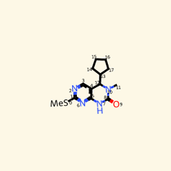 CSc1ncc2c(n1)NC(=O)N(C)C2C1CCCC1